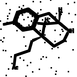 CC(=O)CCC[C@]12CCN[C@H](Cc3ccc(C)cc31)[C@@H]2C